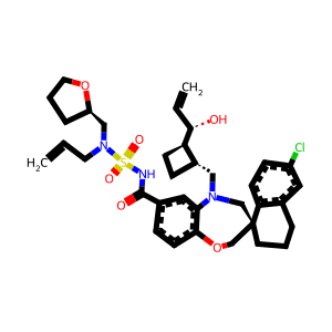 C=CCN(C[C@H]1CCCO1)S(=O)(=O)NC(=O)c1ccc2c(c1)N(C[C@@H]1CC[C@H]1[C@@H](O)C=C)C[C@@]1(CCCc3cc(Cl)ccc31)CO2